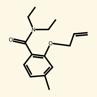 C=CCOc1cc(C)ccc1C(=O)N(CC)CC